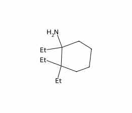 CCC1(N)CCCCC1(CC)CC